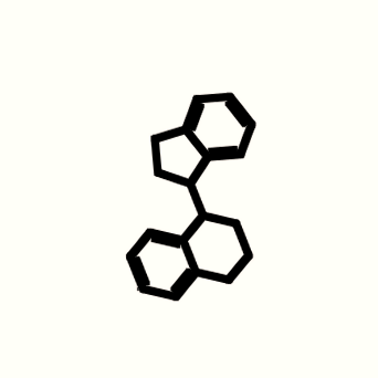 [c]1ccc2c(c1)CCCC2C1CCc2ccccc21